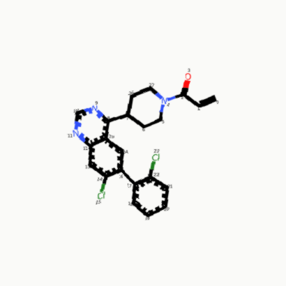 C=CC(=O)N1CCC(c2ncnc3cc(Cl)c(-c4ccccc4Cl)cc23)CC1